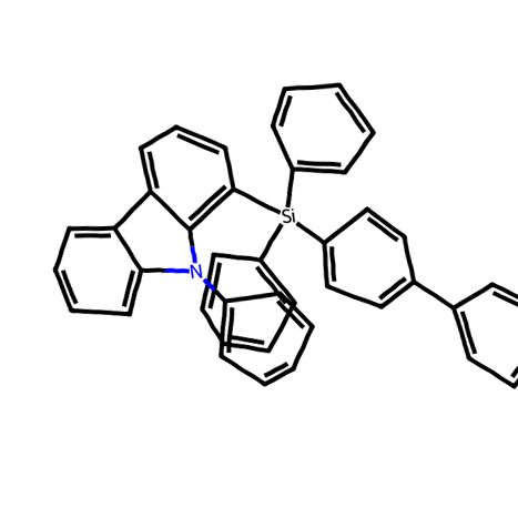 c1ccc(-c2ccc([Si](c3ccccc3)(c3ccccc3)c3cccc4c5ccccc5n(-c5ccccc5)c34)cc2)cc1